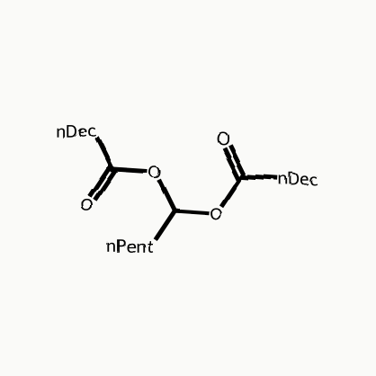 CCCCCCCCCCC(=O)OC(CCCCC)OC(=O)CCCCCCCCCC